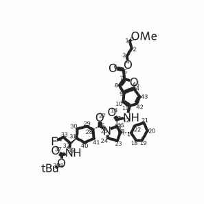 COCCCOC(=O)c1cc2cc(NC(=O)[C@@H]3[C@H](C4CCCCC4)CCN3C(=O)[C@H]3CC[C@H](C(CF)NC(=O)OC(C)(C)C)CC3)ccc2o1